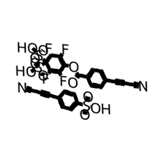 N#CC#Cc1ccc(C(=O)OC2=C(F)C(F)C(S(=O)(=O)O)(S(=O)(=O)O)C(F)=C2F)cc1.N#CC#Cc1ccc(S(=O)(=O)O)cc1